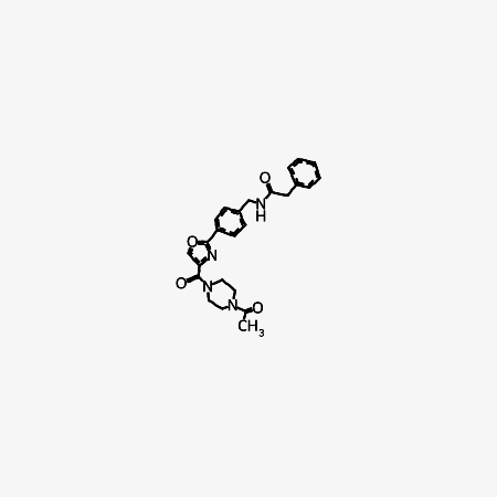 CC(=O)N1CCN(C(=O)c2coc(-c3ccc(CNC(=O)Cc4ccccc4)cc3)n2)CC1